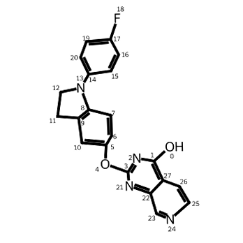 Oc1nc(Oc2ccc3c(c2)CCN3c2ccc(F)cc2)nc2cnccc12